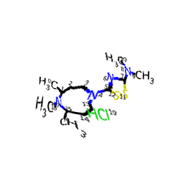 CC1CCN(C2=NC(N(C)C)SS2)CCC(C)N1C.Cl